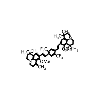 C=C1CCN2CCC(C)(C)c3cc(C=Cc4cc(C(F)(F)F)c(C=Cc5cc6c7c(c5OC)C(C)(C)CCN7CCC6(C)C)cc4C(F)(F)F)c(OC)c1c32